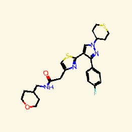 O=C(Cc1csc(-c2cn(C3CCSCC3)nc2-c2ccc(F)cc2)n1)NCC1CCOCC1